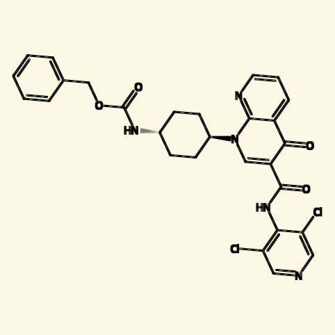 O=C(N[C@H]1CC[C@H](n2cc(C(=O)Nc3c(Cl)cncc3Cl)c(=O)c3cccnc32)CC1)OCc1ccccc1